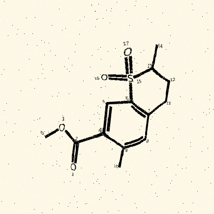 COC(=O)c1cc2c(cc1C)CCC(C)S2(=O)=O